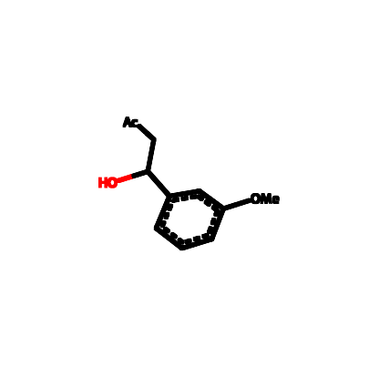 COc1cccc(C(O)CC(C)=O)c1